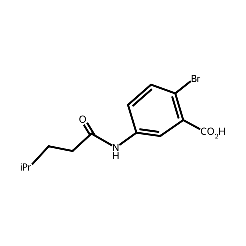 CC(C)CCC(=O)Nc1ccc(Br)c(C(=O)O)c1